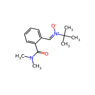 CN(C)C(=O)c1ccccc1C=[N+]([O-])C(C)(C)C